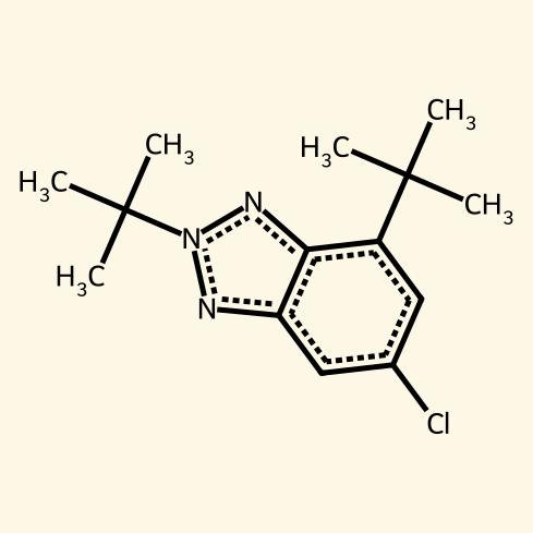 CC(C)(C)c1cc(Cl)cc2nn(C(C)(C)C)nc12